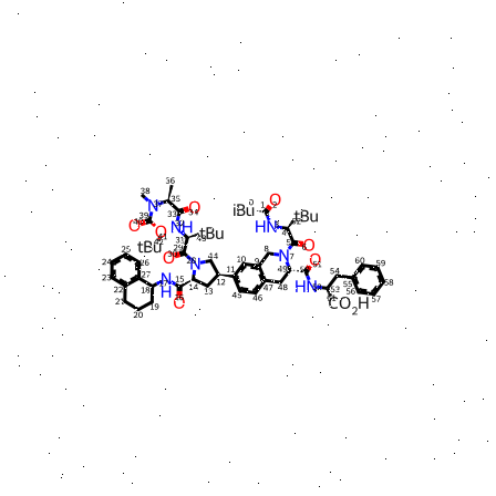 CC[C@@H](C)C(=O)N[C@H](C(=O)N1Cc2cc([C@H]3C[C@@H](C(=O)NC4CCCc5ccccc54)N(C(=O)[C@@H](NC(=O)[C@H](C)N(C)C(=O)OC(C)(C)C)C(C)(C)C)C3)ccc2C[C@H]1C(=O)NC(Cc1ccccc1)C(=O)O)C(C)(C)C